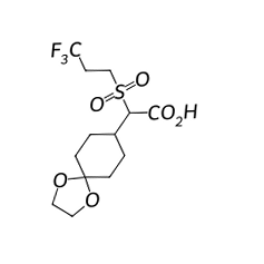 O=C(O)C(C1CCC2(CC1)OCCO2)S(=O)(=O)CCC(F)(F)F